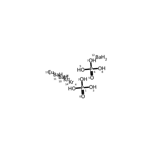 O=P(O)(O)O.O=P(O)(O)O.[BaH2].[BaH2].[BaH2].[Eu].[Kr].[Kr]